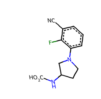 N#Cc1cccc(N2CCC(NC(=O)O)C2)c1F